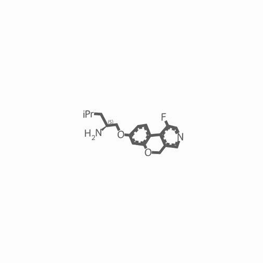 CC(C)C[C@H](N)COc1ccc2c(c1)OCc1cncc(F)c1-2